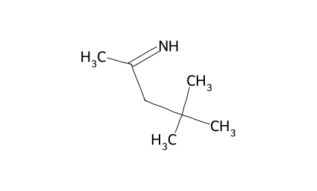 CC(=N)CC(C)(C)C